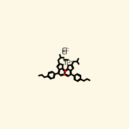 CCCc1ccc(-c2cccc3c2C=C(CC(C)C)[CH]3[Ti+2]2([CH]3C(CC(C)C)=Cc4c(-c5ccc(CCC)cc5)cccc43)[CH2][CH2]2)cc1.[Cl-].[Cl-]